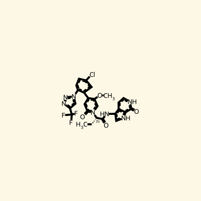 CC[C@@H](C(=O)Nc1c[nH]c2c(=O)[nH]ccc12)n1cc(OC)c(-c2cc(Cl)ccc2-n2cc(C(F)(F)F)nn2)cc1=O